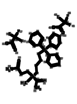 C[N+](CCCC[P+](c1ccccc1)(c1ccccc1)c1ccccc1)(CCC(N)=O)C(=N)N.O=C([O-])C(F)(F)F.O=C([O-])C(F)(F)F